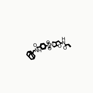 C=CC(=O)NC1CC2CN(S(=O)(=O)c3ccc(C(=O)NCC45CC6CC(CC(C6)C4)C5)cc3)CC2O1